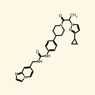 CC(C(=O)N1CCC(c2ccc(NC(=O)NCc3ccn4ccnc4c3)cc2)CC1)n1ccc(C2CC2)n1